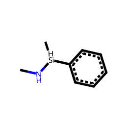 CN[SiH](C)c1ccccc1